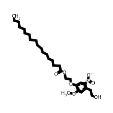 CCCCCCCCCCCCCCCCCC(=O)OCCOc1cc([N+](=O)[O-])c(CCO)cc1OC